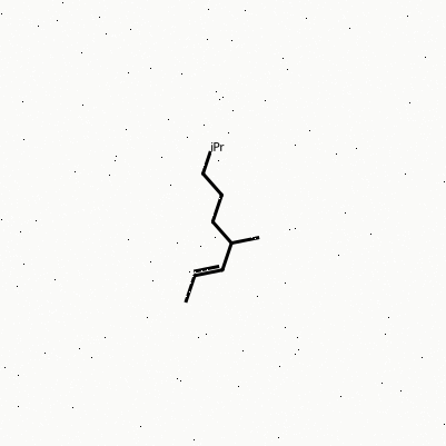 [CH2]C(C)CCCC(C)/C=C/C